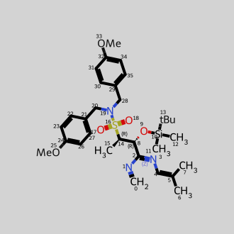 C=N/C(=N\C=C(C)C)[C@@H](O[Si](C)(C)C(C)(C)C)[C@@H](C)S(=O)(=O)N(Cc1ccc(OC)cc1)Cc1ccc(OC)cc1